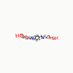 OCCOCC/N=C/c1ccc(/C=N/CCOCCO)cc1